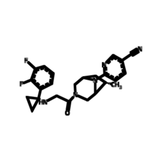 C[C@H]1CC2CN(C(=O)CNC3(c4cccc(F)c4F)CC3)CC1N2c1ccc(C#N)cn1